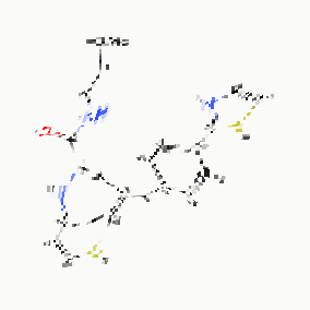 COCCNC(=O)c1cc(Cc2ccc(-c3nccs3)cc2)c2sccc2n1